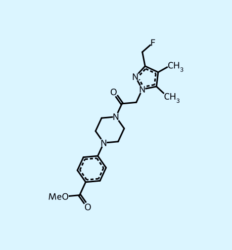 COC(=O)c1ccc(N2CCN(C(=O)Cn3nc(CF)c(C)c3C)CC2)cc1